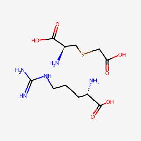 N=C(N)NCCC[C@H](N)C(=O)O.N[C@H](CSCC(=O)O)C(=O)O